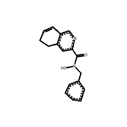 O=C(c1cc2c(cn1)C=CCC2)N(O)Cc1ccccc1